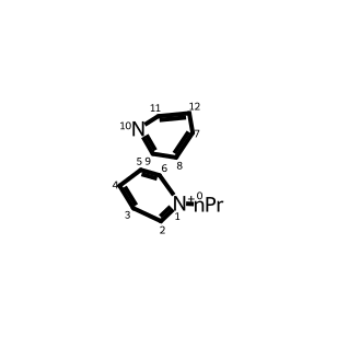 CCC[n+]1ccccc1.c1ccncc1